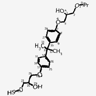 CC(C)OCC(O)COc1ccc(C(C)(C)c2ccc(OCC(O)COS)cc2)cc1